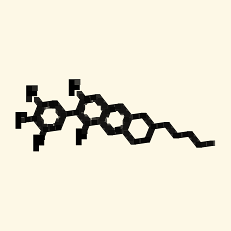 CCCCCC1CCc2cc3c(F)c(-c4cc(F)c(F)c(F)c4)c(F)cc3cc2C1